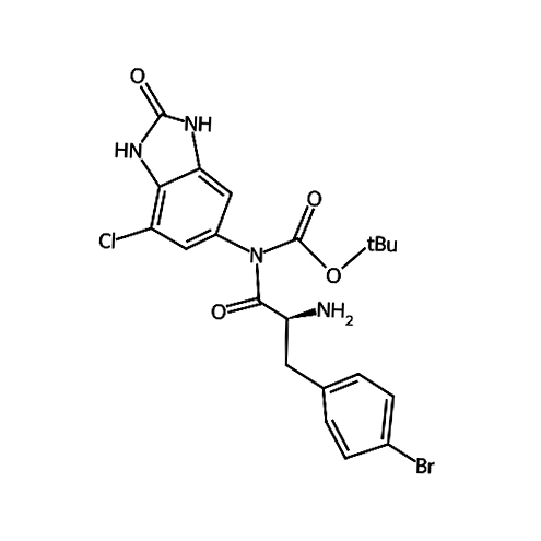 CC(C)(C)OC(=O)N(C(=O)[C@@H](N)Cc1ccc(Br)cc1)c1cc(Cl)c2[nH]c(=O)[nH]c2c1